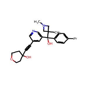 CC(C)c1ccc([C@](O)(c2cncc(C#CC3(O)CCOCC3)c2)C2(C)CN(C)C2)cc1